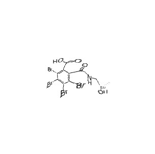 C[C@H](O)CNC(=O)c1c(Br)c(Br)c(Br)c(Br)c1C(=O)O